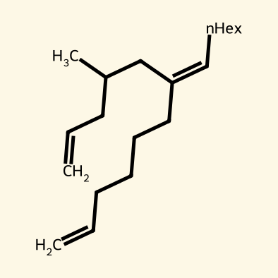 C=CCCCCC(=CCCCCCC)CC(C)CC=C